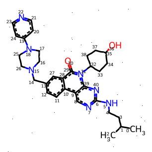 CC(C)CCNc1ncc2c3ccc(CN4CCN(c5ccncc5)CC4)cc3c(=O)n(C3CCC(O)CC3)c2n1